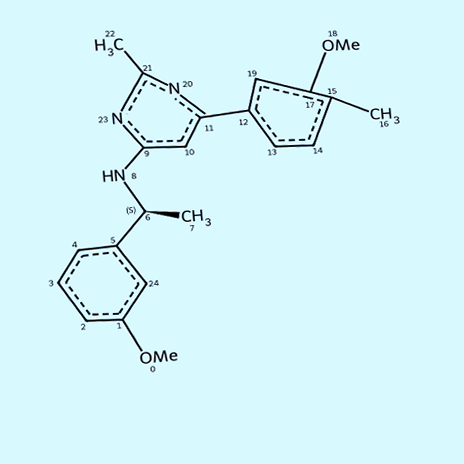 COc1cccc([C@H](C)Nc2cc(-c3ccc(C)c(OC)c3)nc(C)n2)c1